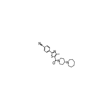 Cc1nc(-c2ccc(C#N)cc2)sc1C(=O)N1CCC(N2CCCCCC2)CC1